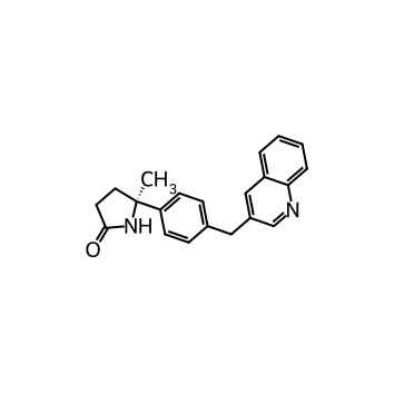 C[C@@]1(c2ccc(Cc3cnc4ccccc4c3)cc2)CCC(=O)N1